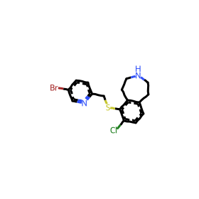 Clc1ccc2c(c1SCc1ccc(Br)cn1)CCNCC2